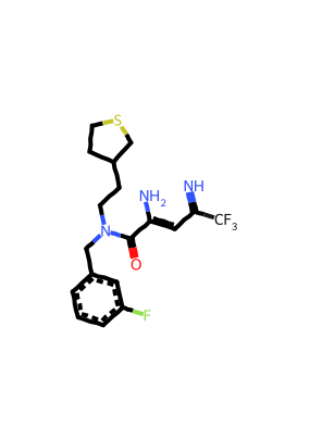 N=C(/C=C(\N)C(=O)N(CCC1CCSC1)Cc1cccc(F)c1)C(F)(F)F